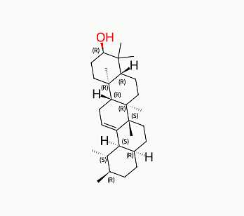 C[C@@H]1[C@H]2C3=CC[C@@H]4[C@@]5(C)CC[C@@H](O)C(C)(C)[C@@H]5CC[C@@]4(C)[C@]3(C)CC[C@H]2CC[C@H]1C